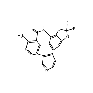 C=C(Nc1cccc2c1OC(F)(F)O2)c1nc(-c2cccnc2)cnc1N